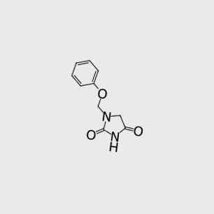 O=C1CN(COc2ccccc2)C(=O)N1